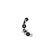 CN(CC[C@H]1CC[C@H](/C=C/CN2CCCC2)CC1)C(=O)Oc1ccc(Cl)cc1